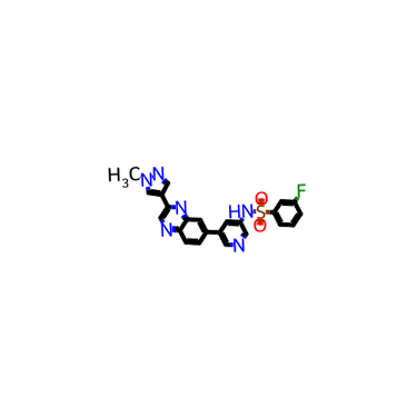 Cn1cc(-c2cnc3ccc(-c4cncc(NS(=O)(=O)c5cccc(F)c5)c4)cc3n2)cn1